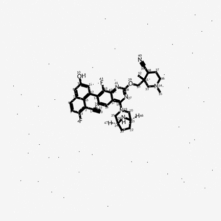 C#Cc1c(F)ccc2cc(O)cc(-c3c(F)cc4c(N5C[C@H]6CC[C@@H](C5)N6)nc(OCC5(C)CN(C)CCC5C#N)nc4c3F)c12